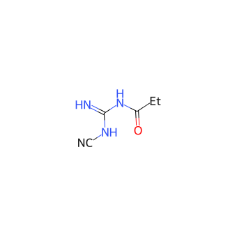 CCC(=O)NC(=N)NC#N